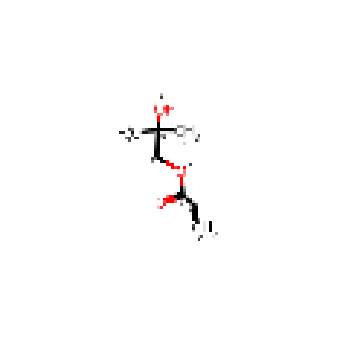 C=CC(=O)OCC(C)(O)C(F)(F)F